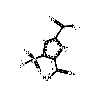 NC(=O)c1cc(S(N)(=O)=O)c(C(N)=O)[nH]1